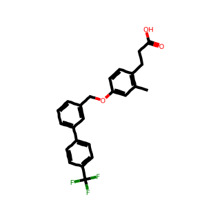 Cc1cc(OCc2cccc(-c3ccc(C(F)(F)F)cc3)c2)ccc1CCC(=O)O